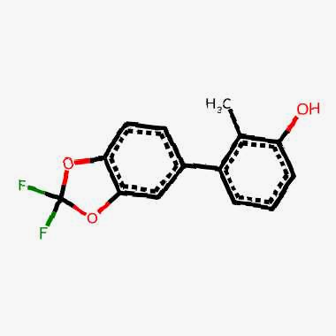 Cc1c(O)cccc1-c1ccc2c(c1)OC(F)(F)O2